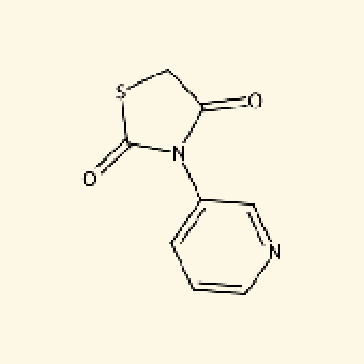 O=C1CSC(=O)N1c1cccnc1